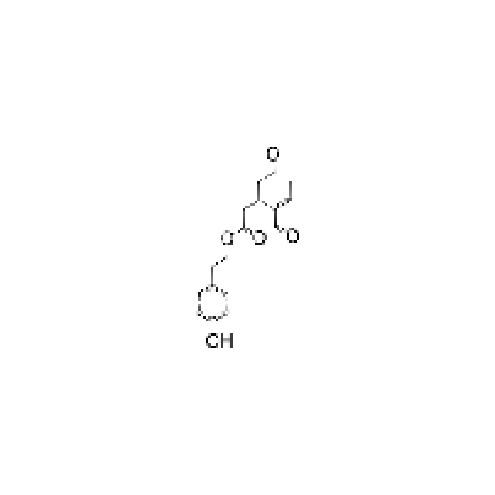 C/C=C(C=O)\C(=C/C=O)CC(=O)OCCc1ccc(O)cc1